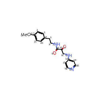 COc1ccc(CCNC(=O)C(=O)CNc2ccncc2)cc1